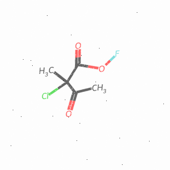 CC(=O)C(C)(Cl)C(=O)OF